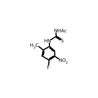 CC(=O)NC(=S)Nc1cc([N+](=O)[O-])c(F)cc1C